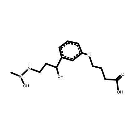 CB(O)NCCC(O)c1cccc(OCCCC(=O)O)c1